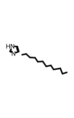 CCCCCCCCCCCC.c1c[nH]cn1